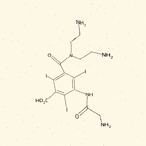 NCCN(CCN)C(=O)c1c(I)c(NC(=O)CN)c(I)c(C(=O)O)c1I